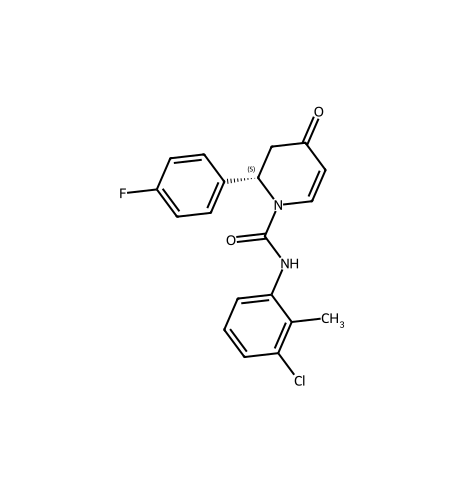 Cc1c(Cl)cccc1NC(=O)N1C=CC(=O)C[C@H]1c1ccc(F)cc1